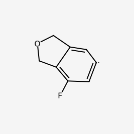 Fc1c[c]cc2c1COC2